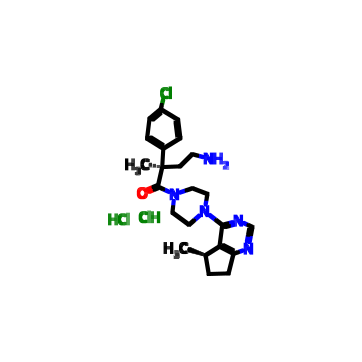 C[C@@H]1CCc2ncnc(N3CCN(C(=O)[C@](C)(CCN)c4ccc(Cl)cc4)CC3)c21.Cl.Cl